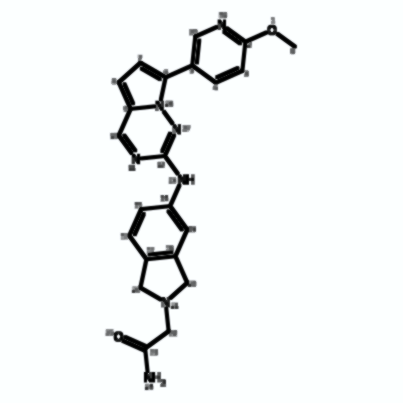 COc1ccc(-c2ccc3cnc(Nc4ccc5c(c4)CN(CC(N)=O)C5)nn23)cn1